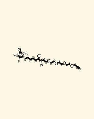 C#CCOCCOCCOCCOCCNC(=O)CCCCC[C@H]1NC(=O)N[C@H]1C